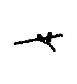 CCCCCCCCCCCCCCCC(=O)OC[C@@H](COC(=O)CCCCCCC)OC(=O)CCCCCCC